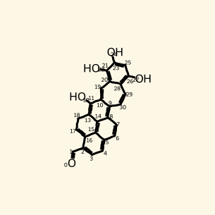 O=Cc1ccc2ccc3c4c(c(O)c5c3c2c1=CC5)=Cc1c(O)c(O)cc(O)c1C=C4